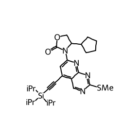 CSc1ncc2c(C#C[Si](C(C)C)(C(C)C)C(C)C)cc(N3C(=O)OCC3C3CCCC3)nc2n1